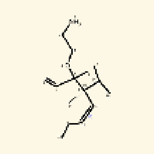 C=CC(C)(OCCN)[C@](C)(/C=C\CC)C(C)C